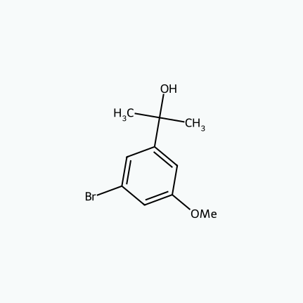 COc1cc(Br)cc(C(C)(C)O)c1